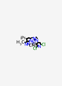 Cc1nn(C)c2nc(CN3CCN(c4cc(Cl)nc(Cl)c4)/C3=N\C#N)cc(C(C)C)c12